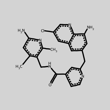 Cc1cc(N)nc(C)c1CNC(=O)c1ccnc(Cc2cc(N)c3ncc(Cl)cc3c2)c1